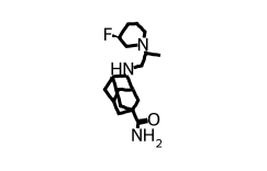 CC(CNC1C2CC3CC1CC(C(N)=O)(C3)C2)N1CCC[C@H](F)C1